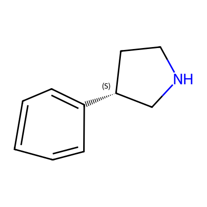 c1ccc([C@@H]2CCNC2)cc1